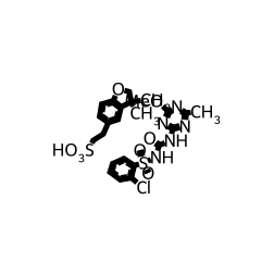 CC1(C)COc2ccc(CCS(=O)(=O)O)cc21.COc1nc(C)nc(NC(=O)NS(=O)(=O)c2ccccc2Cl)n1